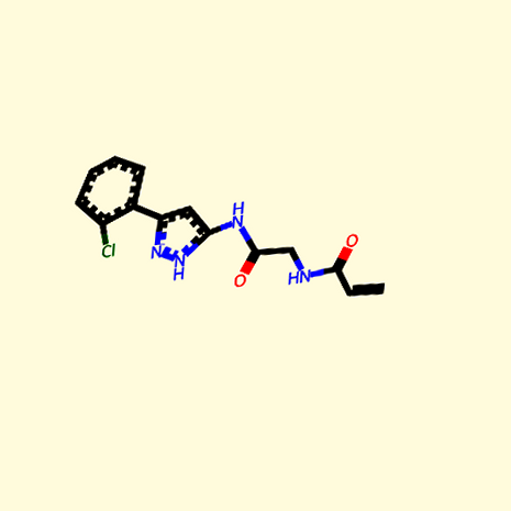 C=CC(=O)NCC(=O)Nc1cc(-c2ccccc2Cl)n[nH]1